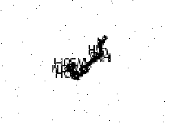 C#CCN(C)CCNC(=O)C(C)(C)NC(=O)CCCCc1ccc(Cc2cc([C@@H]3O[C@H](SC)[C@@H](O)[C@H](O)[C@H]3O)ccc2C)cc1